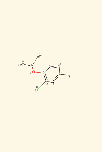 CCCC(CCC)Oc1ccc(C)cc1Cl